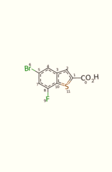 O=C(O)c1cc2cc(Br)cc(F)c2s1